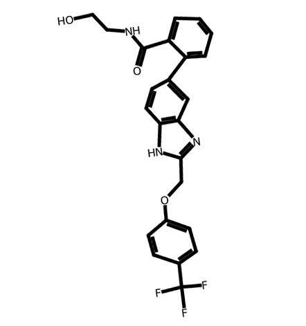 O=C(NCCO)c1ccccc1-c1ccc2[nH]c(COc3ccc(C(F)(F)F)cc3)nc2c1